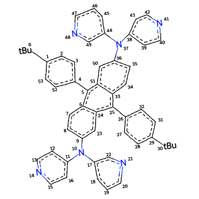 CC(C)(C)c1ccc(-c2c3ccc(N(c4ccncc4)c4cccnc4)cc3c(-c3ccc(C(C)(C)C)cc3)c3ccc(N(c4ccncc4)c4cccnc4)cc23)cc1